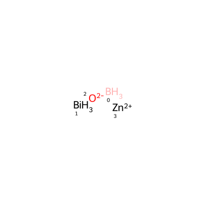 B.[BiH3].[O-2].[Zn+2]